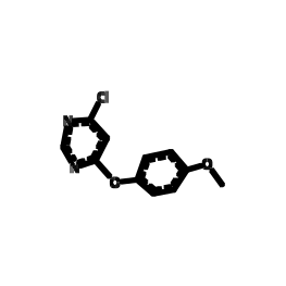 COc1ccc(Oc2cc(Cl)ncn2)cc1